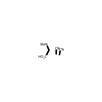 CC#N.CC#N.CNCC(=O)O